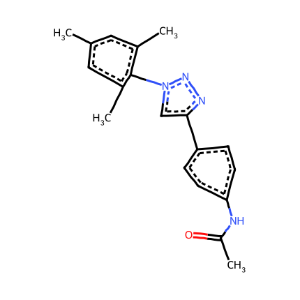 CC(=O)Nc1ccc(-c2cn(-c3c(C)cc(C)cc3C)nn2)cc1